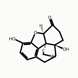 O=C1CC[C@]2(O)C3Cc4ccc(O)c5c4[C@@]2(CCN3)[C@H]1O5